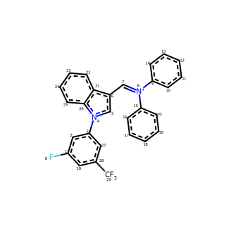 Fc1cc(-n2cc(C=[N+](c3ccccc3)c3ccccc3)c3ccccc32)cc(C(F)(F)F)c1